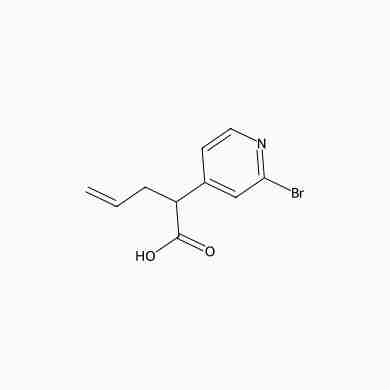 C=CCC(C(=O)O)c1ccnc(Br)c1